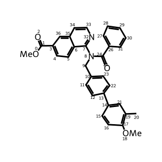 COC(=O)c1ccc2c(N(Cc3ccc(-c4ccc(OC)c(C)c4)cc3)C(=O)c3ccccc3)nccc2c1